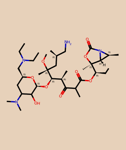 CC[C@@H](OC(=O)C(C)C(=O)[C@H](C)[C@@H](O[C@@H]1O[C@H](CN(CC)CC)CC(N(C)C)C1O)[C@@](C)(C[C@@H](C)CN)OC)[C@@]1(C)OC(=O)N2[C@@H](C)[C@@H]21